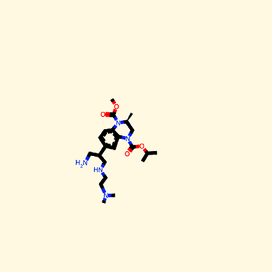 COC(=O)N1c2ccc(C(CN)CNCCN(C)C)cc2N(C(=O)OC(C)C)C[C@@H]1C